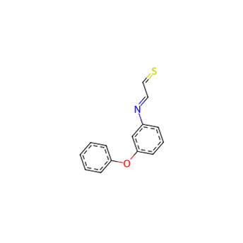 S=CC=Nc1cccc(Oc2ccccc2)c1